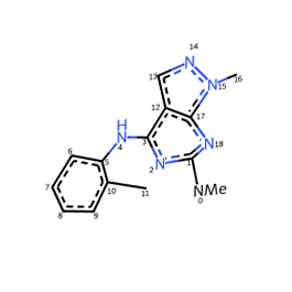 CNc1nc(Nc2ccccc2C)c2cnn(C)c2n1